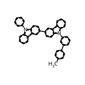 Cc1ccc(-c2cccc(-n3c4ccccc4c4cc(-c5ccc6c(c5)c5ccccc5n6-c5ccccc5)ccc43)c2)cc1